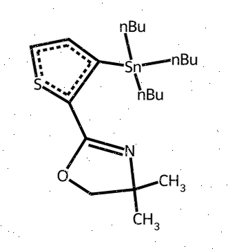 CCC[CH2][Sn]([CH2]CCC)([CH2]CCC)[c]1ccsc1C1=NC(C)(C)CO1